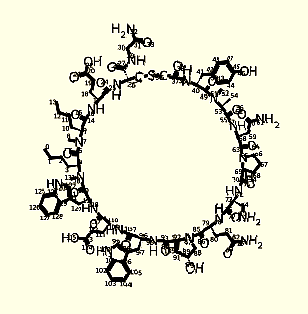 CCCC[C@H]1C(=O)N(C)[C@@H](CCCC)C(=O)N[C@@H](CCC(=O)O)C(=O)N[C@H](C(=O)NCC(N)=O)CSCC(=O)N[C@@H](Cc2ccc(O)cc2)C(=O)N(C)[C@@H](C)C(=O)N[C@@H](CC(N)=O)C(=O)N2CCC[C@H]2C(=O)N[C@@H](CN)C(=O)N[C@@H](CCC(N)=O)C(=O)N2C[C@H](O)C[C@H]2C(=O)N[C@@H](Cc2c[nH]c3ccccc23)C(=O)N[C@@H](CCC(=O)O)C(=O)N[C@@H](Cc2c[nH]c3ccccc23)C(=O)N1C